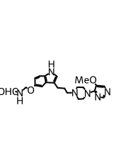 COc1cncnc1N1CCN(CCCc2c[nH]c3ccc(OCNC=O)cc23)CC1